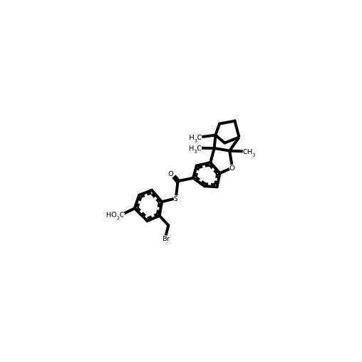 CC12CCC(C1)C1(C)Oc3ccc(C(=O)Sc4ccc(C(=O)O)cc4CBr)cc3C21C